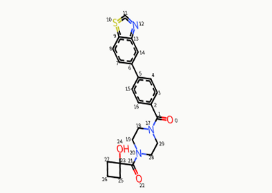 O=C(c1ccc(-c2ccc3scnc3c2)cc1)N1CCN(C(=O)C2(O)CCC2)CC1